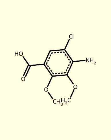 COc1c(C(=O)O)cc(Cl)c(N)c1OC